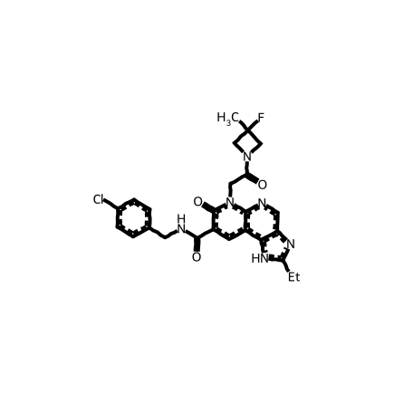 CCc1nc2cnc3c(cc(C(=O)NCc4ccc(Cl)cc4)c(=O)n3CC(=O)N3CC(C)(F)C3)c2[nH]1